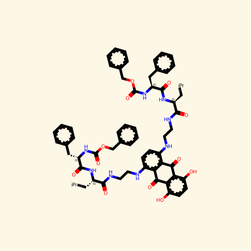 CC(C)C[C@H](NC(=O)[C@H](Cc1ccccc1)NC(=O)OCc1ccccc1)C(=O)NCCNc1ccc(NCCNC(=O)[C@H](CC(C)C)NC(=O)[C@H](Cc2ccccc2)NC(=O)OCc2ccccc2)c2c1C(=O)c1c(O)ccc(O)c1C2=O